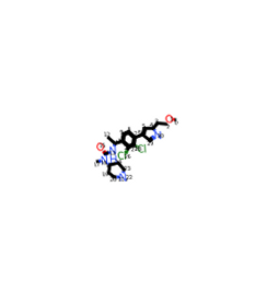 COCCC1C=C(c2ccc(C(C)NC(=O)N(C)C3CCN(C)CC3)c(Cl)c2Cl)C=N1